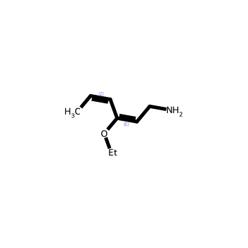 C/C=C\C(=C/CN)OCC